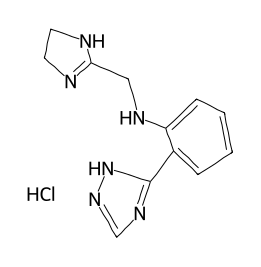 Cl.c1ccc(-c2ncn[nH]2)c(NCC2=NCCN2)c1